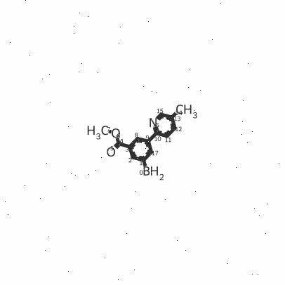 Bc1cc(C(=O)OC)cc(-c2ccc(C)cn2)c1